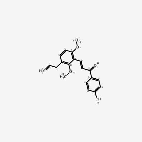 C=CCc1ccc(OC)c(C=CC(=O)c2ccc(O)cc2)c1OC